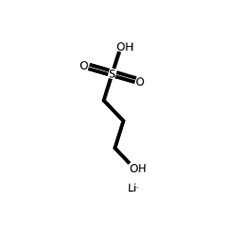 O=S(=O)(O)CCCO.[Li]